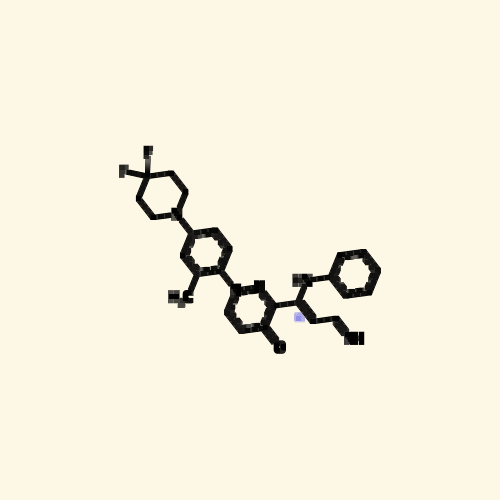 Cc1cc(N2CCC(F)(F)CC2)ccc1-n1ccc(=O)c(/C(=C/C=N)Nc2ccccc2)n1